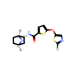 O=C(N[C@@H]1C[C@H]2CC[C@@H]1N2)c1ccc(Oc2cnc(Cl)s2)s1